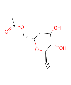 C#C[C@H]1O[C@H](COC(C)=O)C[C@H](O)[C@@H]1O